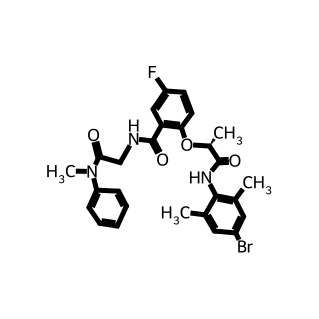 Cc1cc(Br)cc(C)c1NC(=O)[C@@H](C)Oc1ccc(F)cc1C(=O)NCC(=O)N(C)c1ccccc1